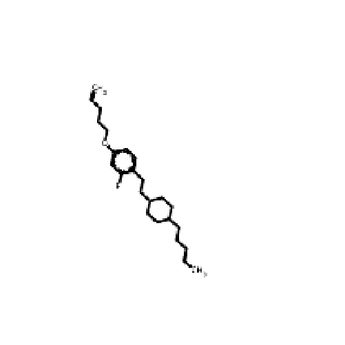 C=CCCCOc1ccc(CCC2CCC(CCCCC)CC2)c(F)c1